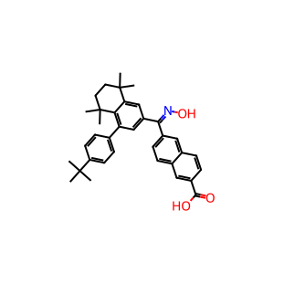 CC(C)(C)c1ccc(-c2cc(C(=NO)c3ccc4cc(C(=O)O)ccc4c3)cc3c2C(C)(C)CCC3(C)C)cc1